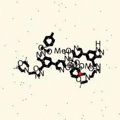 COc1ccccc1S(=O)(=O)N(Nc1cc(-c2cc(-c3nnc(CN4C[C@@H](C)O[C@@H](C)C4)o3)c3cnn(S(=O)(=O)c4ccc(C)cc4)c3c2)cnc1OC)c1cc(-c2cc(-c3nnc(CN4C[C@@H](C)O[C@@H](C)C4)o3)c3cn[nH]c3c2)cnc1OC